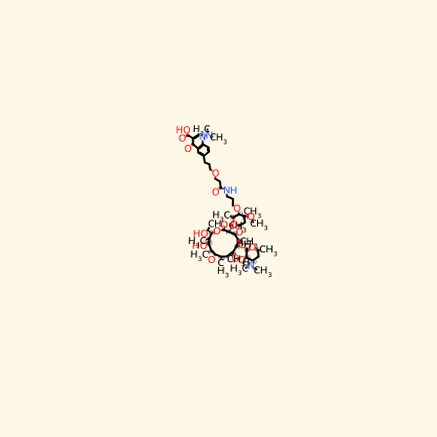 CC[C@H]1OC(=O)[C@H](C)[C@@H](O[C@H]2C[C@@](C)(OC)[C@@H](OCCCNC(=O)CCOCCCc3ccc4c(c3)c(=O)c(C(=O)O)cn4N(C)C)[C@H](C)O2)[C@H](C)[C@H]2O[C@@H]3O[C@H](C)C[C@H](N(C)C)[C@H]3OO[C@]2(C)C[C@H](C)C(=O)[C@H](C)[C@@H](O)[C@]1(C)O